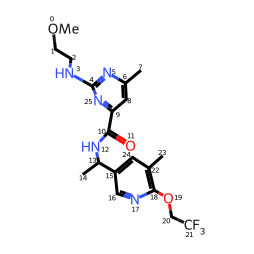 COCCNc1nc(C)cc(C(=O)NC(C)c2cnc(OCC(F)(F)F)c(C)c2)n1